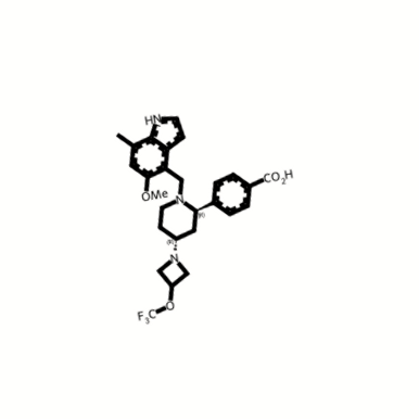 COc1cc(C)c2[nH]ccc2c1CN1CC[C@@H](N2CC(OC(F)(F)F)C2)C[C@@H]1c1ccc(C(=O)O)cc1